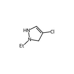 CCN1CC(Cl)=CN1